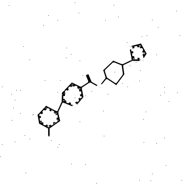 O=C(NC1CCC(c2ncc[nH]2)CC1)c1ccc(-c2cccc(F)c2)nc1